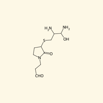 NC(O)C(N)CSC1CCN(CCC=O)C1=O